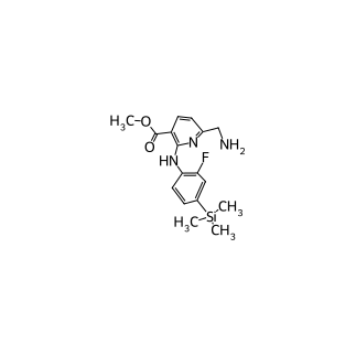 COC(=O)c1ccc(CN)nc1Nc1ccc([Si](C)(C)C)cc1F